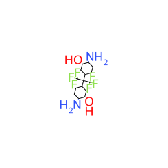 NC1CCC(C(C2CCC(N)C(O)C2)(C(F)(F)F)C(F)(F)F)CC1O